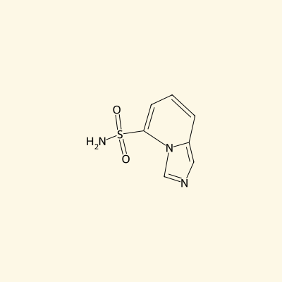 NS(=O)(=O)c1cccc2cncn12